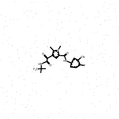 Cc1c(C(=O)C(=O)NC(C)(C)C(F)(F)F)cc(C(=O)Nc2ccc(F)c(C#N)c2)n1C